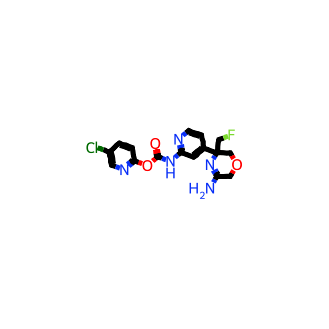 NC1=NC(CF)(c2ccnc(NC(=O)Oc3ccc(Cl)cn3)c2)COC1